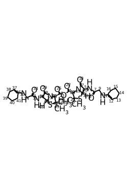 CC1(C)S[C@@H]2[C@H](NC(=O)CNC3=CCCCC3)C(=O)N2[C@H]1C(=O)OC(=O)[C@@H]1N2C(=O)[C@@H](NC(=O)CNC3=CCCCC3)[C@H]2SC1(C)C